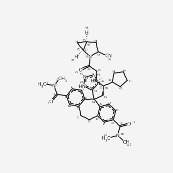 CN(C)C(=O)c1ccc2c(c1)CCc1cc(C(=O)N(C)C)ccc1C2(C[C@@H](NCC(=O)N1C(C#N)C[C@@H]2C[C@@H]21)C1CCCC1)c1nnn[nH]1